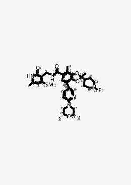 CSc1cc(C)[nH]c(=O)c1CNC(=O)c1cc(-c2ccc(N3C[C@@H](C)O[C@@H](C)C3)nc2)c2c(c1C)OC(C)(C1CCN(C(C)C)CC1)O2